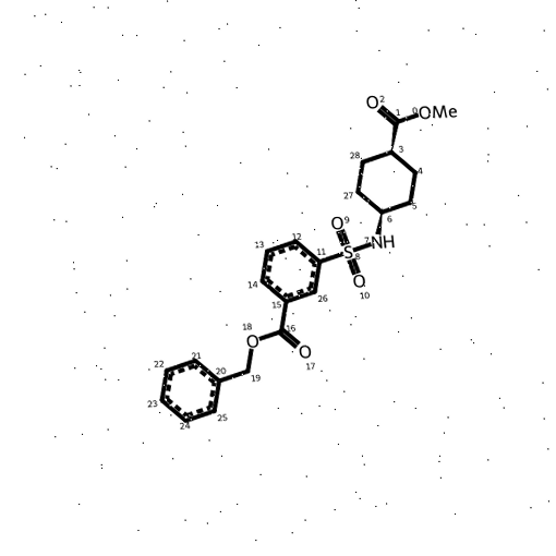 COC(=O)[C@H]1CC[C@@H](NS(=O)(=O)c2cccc(C(=O)OCc3ccccc3)c2)CC1